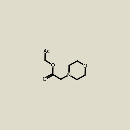 CC(=O)COC(=O)CN1CCOCC1